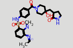 C=Nc1c(/N=C\C)cccc1S(=O)(=O)Nc1ccc(C(=O)N2CCC(O)(CC3CCNC3=O)CC2)cc1